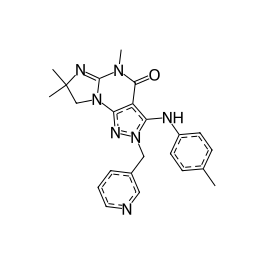 Cc1ccc(Nc2c3c(nn2Cc2cccnc2)N2CC(C)(C)N=C2N(C)C3=O)cc1